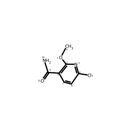 COc1nc(Cl)ccc1C(N)=O